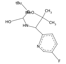 COC(C)(C)C(NC(O)OC(C)(C)C)c1ccc(F)cn1